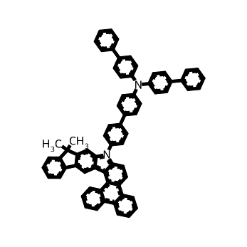 CC1(C)c2ccccc2-c2cc3c4c5c6ccccc6c6ccccc6c5ccc4n(-c4ccc(-c5ccc(N(c6ccc(-c7ccccc7)cc6)c6ccc(-c7ccccc7)cc6)cc5)cc4)c3cc21